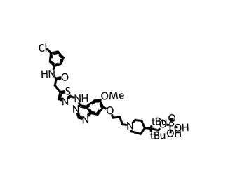 COc1cc2c(Nc3ncc(CC(=O)Nc4cccc(Cl)c4)s3)ncnc2cc1OCCCN1CCC(C(COP(=O)(O)O)(C(C)(C)C)C(C)(C)C)CC1